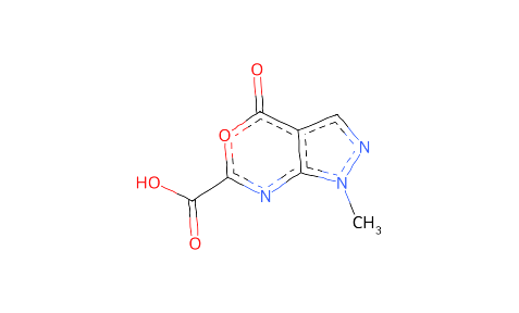 Cn1ncc2c(=O)oc(C(=O)O)nc21